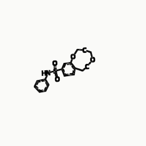 O=S(=O)(Nc1ccccc1)c1ccc2c(c1)OCCCOCC2